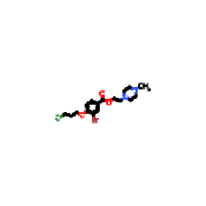 CN1CCN(CCOC(=O)c2ccc(OCCCCl)c(Br)c2)CC1